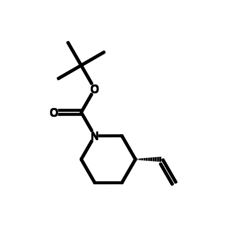 C=C[C@@H]1CCCN(C(=O)OC(C)(C)C)C1